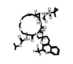 CC(C)OC(=O)N[C@H]1CCCCC/C=C\[C@@H]2C[C@@]2(C(=O)NS(=O)(=O)C2(C)CC2)NC(=O)[C@@H]2C[C@]3(CCc4c(c(C(F)(F)F)nc5ccccc45)O3)CN2C1=O